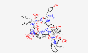 CC[C@H](C)[C@H](NC(=O)[C@H](CC(=O)O)NC(=O)[C@H](Cc1ccc(O)cc1)NC(=O)[C@@H](N)Cc1ccc(O)cc1)C(=O)N[C@@H](CC(=O)O)C(=O)N[C@@H](C)C(=O)N[C@@H](CCC(N)=O)C(=O)N[C@H](C(=O)N[C@@H](Cc1ccccc1)C(=O)N[C@@H](C)C(=O)O)[C@@H](C)O